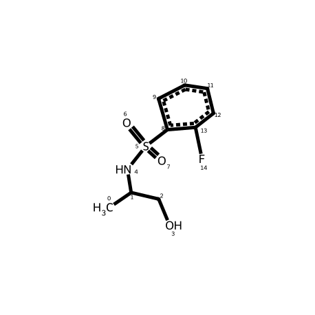 CC(CO)NS(=O)(=O)c1ccccc1F